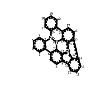 c1ccc2c(c1)-c1ccc3c4cccc5c6ccc7c8c6n(c3c1B8N2c1ccccc1-7)c45